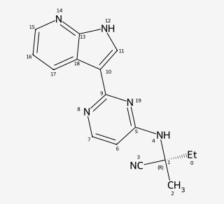 CC[C@](C)(C#N)Nc1ccnc(-c2c[nH]c3ncccc23)n1